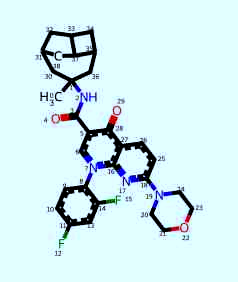 CC1(NC(=O)c2cn(-c3ccc(F)cc3F)c3nc(N4CCOCC4)ccc3c2=O)CC2CC3CC(C1)C3C2